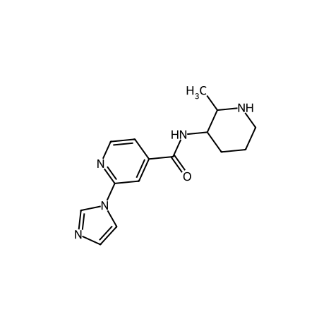 CC1NCCCC1NC(=O)c1ccnc(-n2ccnc2)c1